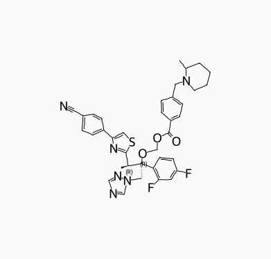 CC1CCCCN1Cc1ccc(C(=O)OCO[C@@](Cn2cncn2)(c2ccc(F)cc2F)[C@@H](C)c2nc(-c3ccc(C#N)cc3)cs2)cc1